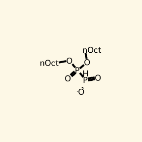 CCCCCCCCOP(=O)(OCCCCCCCC)[PH]([O])=O